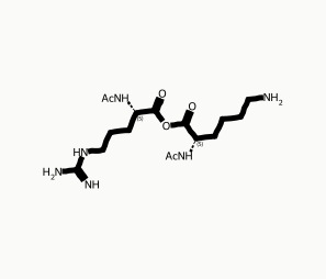 CC(=O)N[C@@H](CCCCN)C(=O)OC(=O)[C@H](CCCNC(=N)N)NC(C)=O